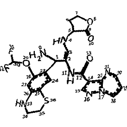 NC(/C(=C\NC1CCOC1=O)NC(=O)c1cnn2cccnc12)c1cc2c(cc1OC(F)F)NCCS2